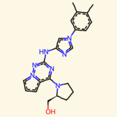 Cc1ccc(-n2cnc(Nc3nc(N4CCC[C@H]4CO)c4cccn4n3)c2)cc1C